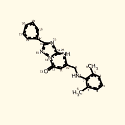 Cc1cccc(C)c1NCc1cc(=O)n2nc(-c3ccccc3)nc2[nH]1